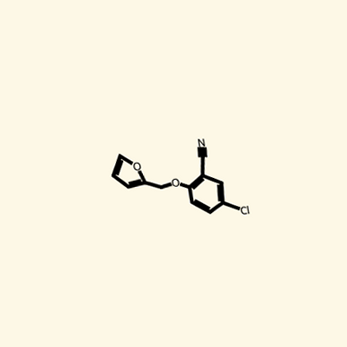 N#Cc1cc(Cl)ccc1OCc1ccco1